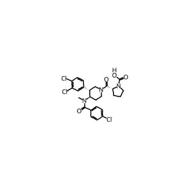 CN(C(=O)c1ccc(Cl)cc1)[C@@H]1CCN(C(=O)[C@H]2CCCN2C(=O)O)C[C@H]1c1ccc(Cl)c(Cl)c1